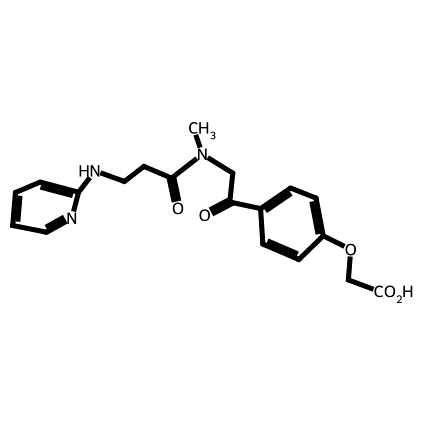 CN(CC(=O)c1ccc(OCC(=O)O)cc1)C(=O)CCNc1ccccn1